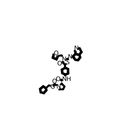 O=C(Nc1ccc(C2S/C(=N\c3cccc4ccncc34)N(Cc3ccco3)C2=O)cc1)[C@@H]1CCCN1C(=O)OCc1ccccc1